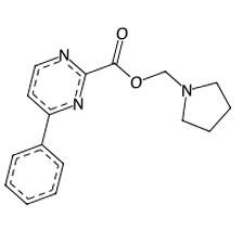 O=C(OCN1CCCC1)c1nccc(-c2ccccc2)n1